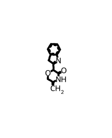 C=C1COC(C2=Nc3ccccc3C2)C(=O)N1